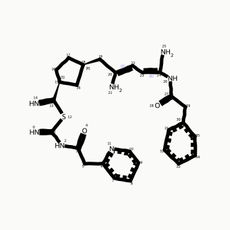 N=C(NC(=O)Cc1ccccn1)SC(=N)[C@H]1CC[C@@H](C/C(N)=C/C=C(\N)NC(=O)Cc2ccccc2)C1